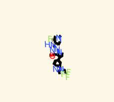 COc1nc(N[C@@H]2CCN(C)C[C@@H]2F)nn2ccc(-c3ccc4nc(C)n(CC(F)(F)F)c4c3)c12